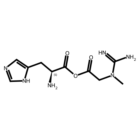 CN(CC(=O)OC(=O)[C@@H](N)Cc1cnc[nH]1)C(=N)N